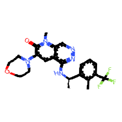 Cc1c([C@@H](C)Nc2nncc3c2cc(N2CCOCC2)c(=O)n3C)cccc1C(F)(F)F